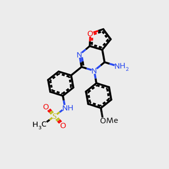 COc1ccc(N2C(c3cccc(NS(C)(=O)=O)c3)=Nc3occc3C2N)cc1